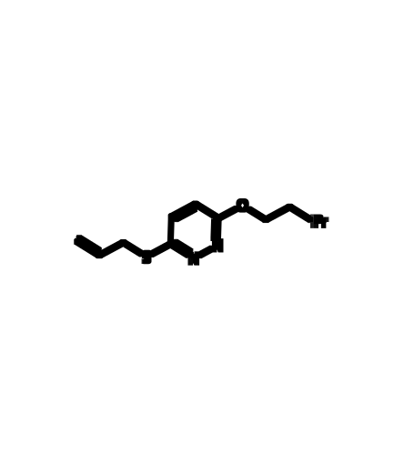 C=CCSc1ccc(OCCC(C)C)nn1